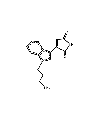 NCCCn1cc(C2=CC(=O)NC2=O)c2ccccc21